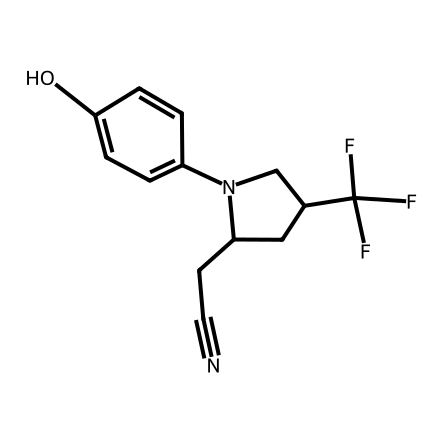 N#CCC1CC(C(F)(F)F)CN1c1ccc(O)cc1